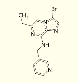 CCc1cn2c(Br)cnc2c(NCc2cccnc2)n1